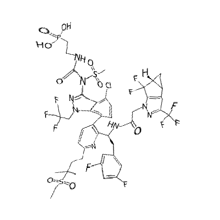 CC(C)(CCc1ccc(-c2ccc(Cl)c3c(N(C(=O)NCCP(=O)(O)O)S(C)(=O)=O)nn(CC(F)(F)F)c23)c([C@H](Cc2cc(F)cc(F)c2)NC(=O)Cn2nc(C(F)(F)F)c3c2C(F)(F)[C@@H]2CC32)n1)S(C)(=O)=O